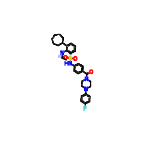 C/C=N\c1c(C2CCCCCC2)cccc1S(=O)(=O)Nc1ccc(C(=O)N2CCN(c3ccc(F)cc3)CC2)cc1